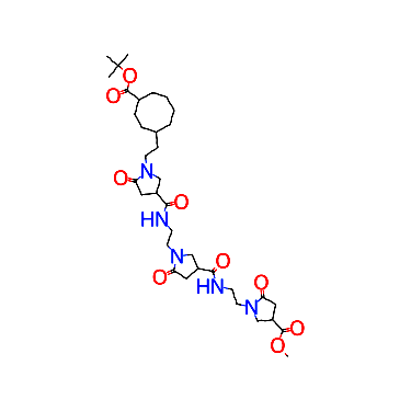 COC(=O)C1CC(=O)N(CCNC(=O)C2CC(=O)N(CCNC(=O)C3CC(=O)N(CCC4CCCCC(C(=O)OC(C)(C)C)CC4)C3)C2)C1